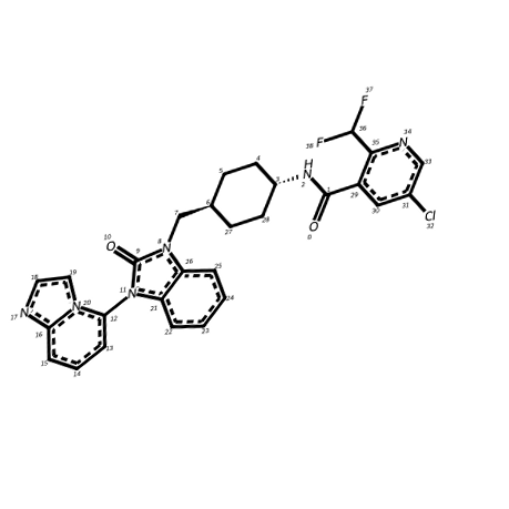 O=C(N[C@H]1CC[C@H](Cn2c(=O)n(-c3cccc4nccn34)c3ccccc32)CC1)c1cc(Cl)cnc1C(F)F